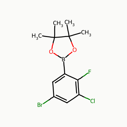 CC1(C)OB(c2cc(Br)cc(Cl)c2F)OC1(C)C